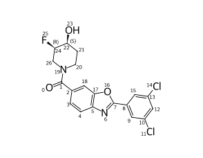 O=C(c1ccc2nc(-c3cc(Cl)cc(Cl)c3)oc2c1)N1CC[C@H](O)[C@H](F)C1